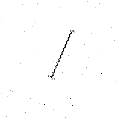 CCCCCCCCC=CCCCCCCCCOCCOCCOCC(=O)O